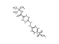 CC(C)(C)OC(=O)N1CCC(CCc2ccc(S(C)(=O)=O)cc2)CC1